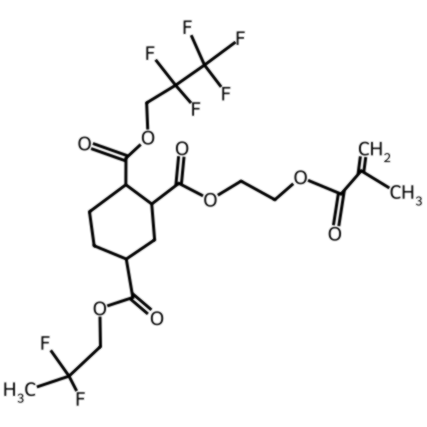 C=C(C)C(=O)OCCOC(=O)C1CC(C(=O)OCC(C)(F)F)CCC1C(=O)OCC(F)(F)C(F)(F)F